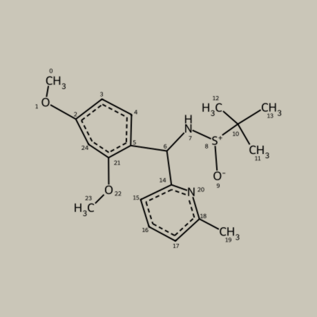 COc1ccc(C(N[S+]([O-])C(C)(C)C)c2cccc(C)n2)c(OC)c1